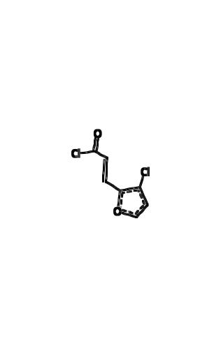 O=C(Cl)C=Cc1occc1Cl